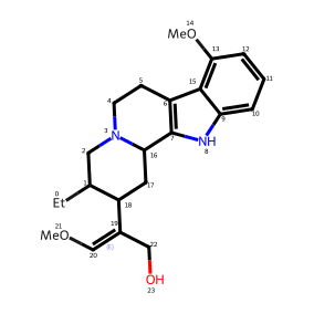 CCC1CN2CCc3c([nH]c4cccc(OC)c34)C2CC1/C(=C\OC)CO